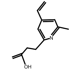 C=Cc1cc(C)nc(CCC(=C)O)c1